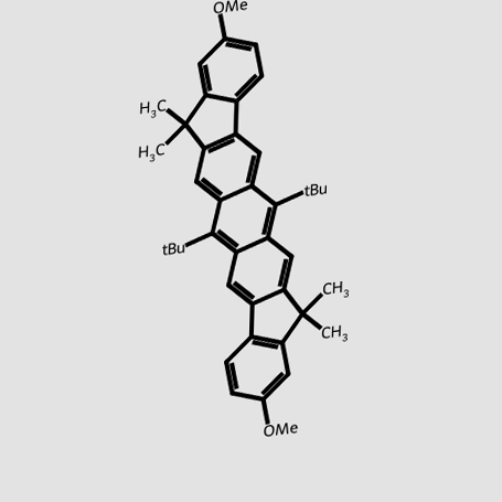 COc1ccc2c(c1)C(C)(C)c1cc3c(C(C)(C)C)c4cc5c(cc4c(C(C)(C)C)c3cc1-2)C(C)(C)c1cc(OC)ccc1-5